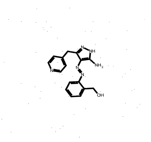 Nc1[nH]nc(Cc2ccncc2)c1N=Nc1ccccc1CO